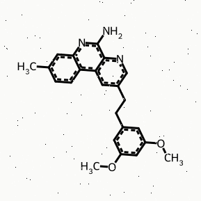 COc1cc(CCc2cnc3c(N)nc4cc(C)ccc4c3c2)cc(OC)c1